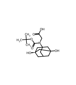 CC(C)(C)OC(=O)N(CC(=O)O)C12CC3CC(O)(C1)C[C@](O)(C3)C2